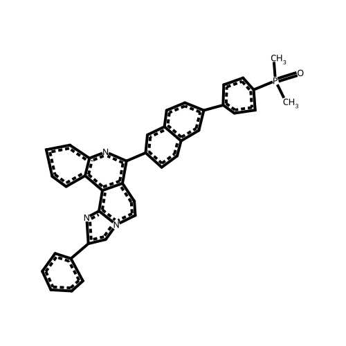 CP(C)(=O)c1ccc(-c2ccc3cc(-c4nc5ccccc5c5c4ccn4cc(-c6ccccc6)nc54)ccc3c2)cc1